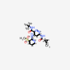 [2H]C([2H])([2H])NC(=O)c1nnc(NC(=O)[C@@H]2C[C@H]2C(F)(F)F)cc1Nc1ncccc1S(C)(=O)=O